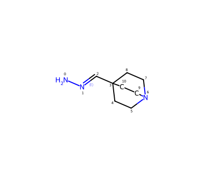 N/N=C/C12CCN(CC1)CC2